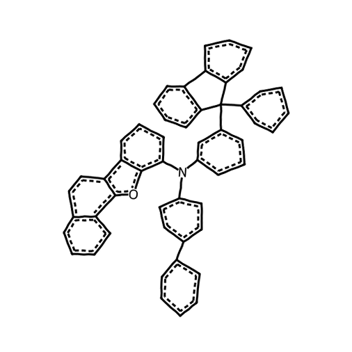 c1ccc(-c2ccc(N(c3cccc(C4(c5ccccc5)c5ccccc5-c5ccccc54)c3)c3cccc4c3oc3c5ccccc5ccc43)cc2)cc1